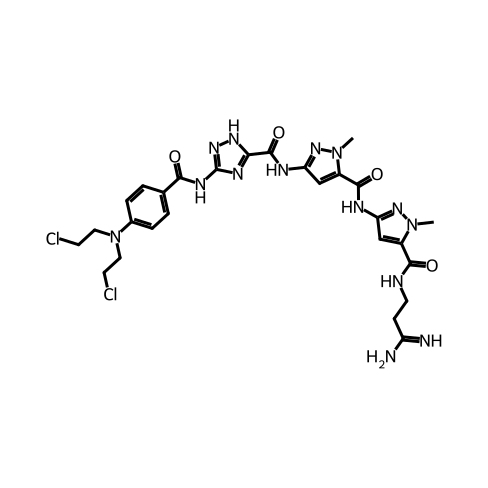 Cn1nc(NC(=O)c2cc(NC(=O)c3nc(NC(=O)c4ccc(N(CCCl)CCCl)cc4)n[nH]3)nn2C)cc1C(=O)NCCC(=N)N